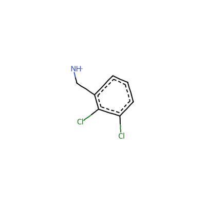 [NH]Cc1cccc(Cl)c1Cl